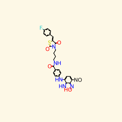 N=C1C(Nc2ccc(C(=O)NCCCCN3C(=O)S/C(=C\c4ccc(F)cc4)C3=O)cc2)=CC=C(N=O)/C1=N/O